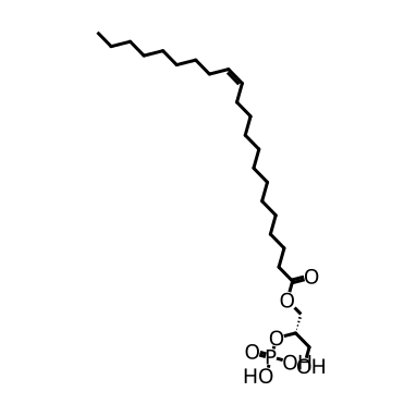 CCCCCCCC/C=C\CCCCCCCCCCCC(=O)OC[C@H](CO)OP(=O)(O)O